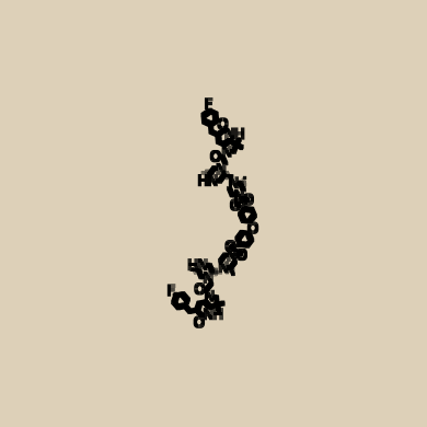 C[C@@H]1CN(CC(=O)N2CC(C)(C)c3[nH]c(=O)c(Cc4ccc(F)cc4)cc32)[C@@H](CN2CCN(S(=O)(=O)c3ccc(Oc4ccc(S(=O)(=O)N5CCN(C[C@H]6CN[C@H](C)CN6CC(=O)N6CC(C)(C)c7[nH]c(=O)c(Cc8ccc(F)cc8)cc76)[C@H](C)C5)cc4)cc3)C[C@H]2C)CN1